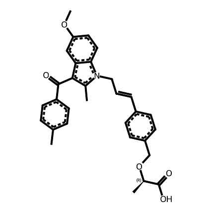 COc1ccc2c(c1)c(C(=O)c1ccc(C)cc1)c(C)n2CC=Cc1ccc(CO[C@H](C)C(=O)O)cc1